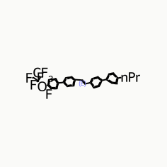 CCCc1ccc(-c2ccc(/C=C/c3ccc(-c4ccc(OC(F)(F)C(F)C(F)(F)F)c(F)c4)cc3)cc2)cc1